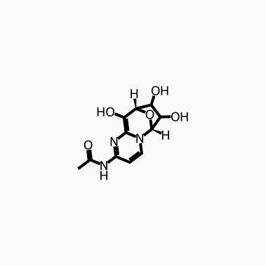 CC(=O)NC1=NC2=C(O)[C@H]3O[C@H](C(O)C3O)N2C=C1